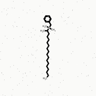 CCCCCCCCCCCCCCCCC(C)[N+](C)(C)Cc1ccccc1